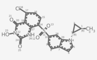 C[C@@H]1C[C@H]1n1ccc2ccc(S(=O)(=O)c3ccc(Cl)c4c(=O)n(O)c(=O)[nH]c34)cc21